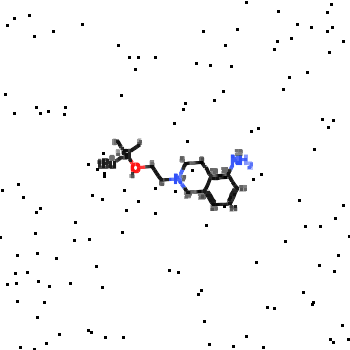 CC(C)(C)[Si](C)(C)OCCN1CCc2c(N)cccc2C1